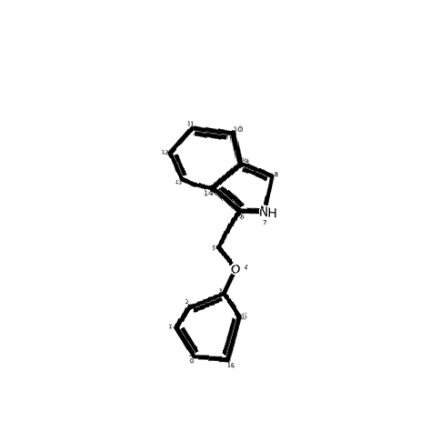 [c]1ccc(OCc2[nH]cc3ccccc23)cc1